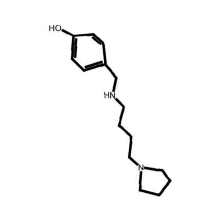 Oc1ccc(CNCCCCN2CCCC2)cc1